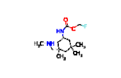 CNCC1(C)CC(NC(=O)OCF)CC(C)(C)C1